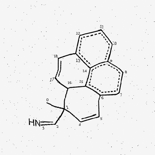 CC1(C=N)C=Cc2ccc3cccc4c3c2C1C=C4